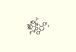 Cn1nc(C(F)F)c(C(=O)N(Cc2cc(Cl)ccc2C(F)(F)F)C(=O)C2CC2)c1F